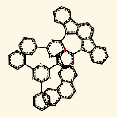 c1ccc(-c2nc(-c3ccccc3)nc(-c3ccc(-n4c5ccccc5c5ccc6c7ccccc7n(-c7nc(-c8ccccc8)nc(-c8ccc9ccc%10ccccc%10c9c8)n7)c6c54)cc3)n2)cc1